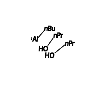 CCCO.CCCO.CCC[CH2][Al]